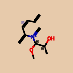 C=C/C=C\C(=C)[N+](=C)[C@H](OC)[C@H](C)O